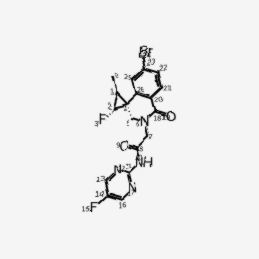 C[C@@H]1[C@@H](F)[C@@]12CN(CC(=O)Nc1ncc(F)cn1)C(=O)c1ccc(Br)cc12